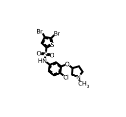 CN1CCC(Oc2cc(NS(=O)(=O)c3cc(Br)c(Br)s3)ccc2Cl)C1